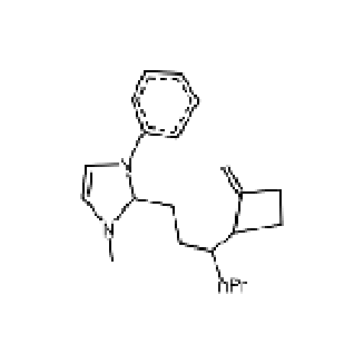 C=C1CCC1C(CCC)CCC1N(C)C=CN1c1ccccc1